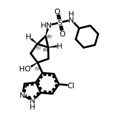 O=S(=O)(NC1CCCCC1)N[C@H]1[C@@H]2C[C@](O)(c3cc(Cl)cc4[nH]ncc34)C[C@@H]21